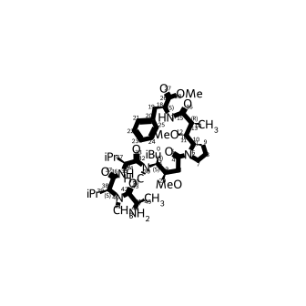 CC[C@H](C)[C@@H]([C@@H](CC(=O)N1CCC[C@H]1[C@H](OC)[C@@H](C)C(=O)N[C@@H](Cc1ccccc1)C(=O)OC)OC)N(C)C(=O)[C@@H](NC(=O)[C@H](C(C)C)N(C)C(=O)[C@@H](C)N)C(C)C